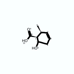 C[C@H]1C=CCC(O)[C@H]1C(=O)O